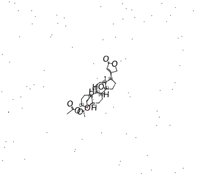 CC(=O)OC[C@]12CC[C@H](OC(C)=O)C[C@@H]1CC[C@@H]1[C@@H]2CC[C@]2(C)[C@@H](C3=CC(=O)OC3)CC[C@]12O